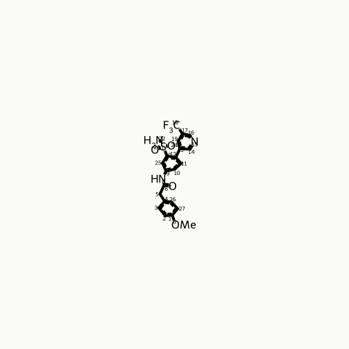 COc1ccc(CC(=O)Nc2ccc(-c3cncc(C(F)(F)F)c3)c(S(N)(=O)=O)c2)cc1